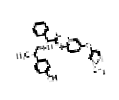 C[C@H](CN[C@@H](C(=O)Nc1ccc(Oc2cnn(C)c2)cn1)c1ccccc1)c1ccc(C#N)cc1